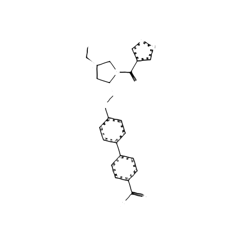 N=C(N)c1ccc(-c2ccc(OC[C@@H]3C[C@@H](CC(=O)O)CN3C(=O)c3cn[nH]c3)cc2)cc1